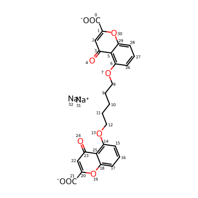 O=C([O-])c1cc(=O)c2c(OCCCCCOc3cccc4oc(C(=O)[O-])cc(=O)c34)cccc2o1.[Na+].[Na+]